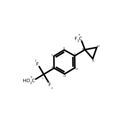 O=C(O)C(F)(F)c1ccc(C2(C(F)(F)F)CC2)cc1